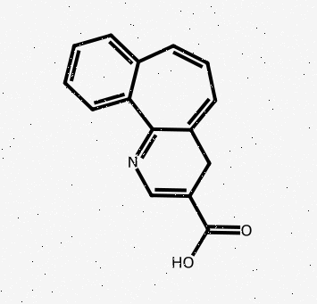 O=C(O)C1=CN=C2C(=CC=Cc3ccccc32)C1